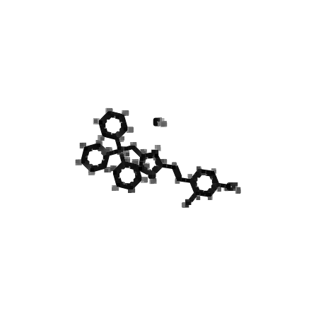 Fc1cc(C(F)(F)F)ccc1C=Cc1nc(C[P+](c2ccccc2)(c2ccccc2)c2ccccc2)co1.[Cl-]